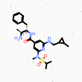 CC1CC1CNc1cc(C(=O)N[C@@H](Cc2ccccc2)[C@H](C)N)cc(N(C)S(=O)(=O)C(C)C)n1